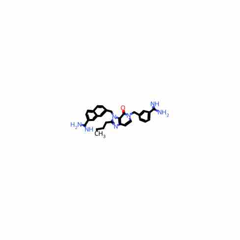 CCCCc1nc2ccn(Cc3cccc(C(=N)N)c3)c(=O)c2n1Cc1ccc2ccc(C(=N)N)cc2c1